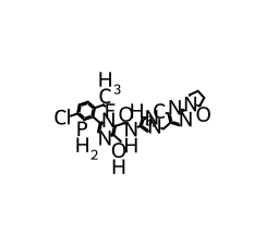 Cc1nc(N2CCCC2=O)ncc1Cn1cc(NC(=O)c2nc(-c3c(C(C)F)ccc(Cl)c3P)cnc2CO)cn1